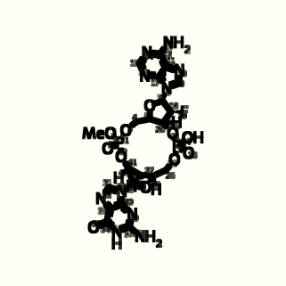 COP1(=O)OCC2O[C@@H](n3cnc4c(N)ncnc43)[C@H](F)[C@@H]2OP(=O)(O)OC[C@H]2O[C@@H](n3cnc4c(=O)[nH]c(N)nc43)[C@H](O1)[C@@H]2F